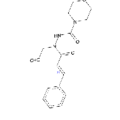 O=[C]CN(NC(=O)N1CCOCC1)C(=O)/C=C/c1ccccc1